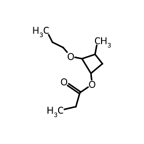 CCCOC1C(C)CC1OC(=O)CC